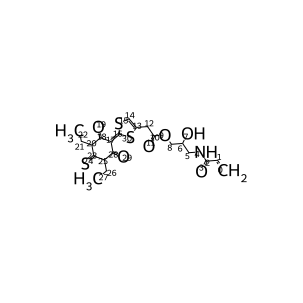 C=CC(=O)NCC(O)COC(=O)CC1=CSC(=C2C(=O)C(CC)C(=S)C(CC)C2=O)S1